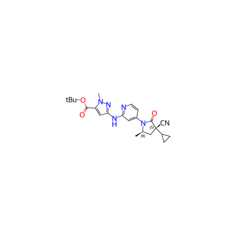 C[C@@H]1C[C@@](C#N)(C2CC2)C(=O)N1c1ccnc(Nc2cc(C(=O)OC(C)(C)C)n(C)n2)c1